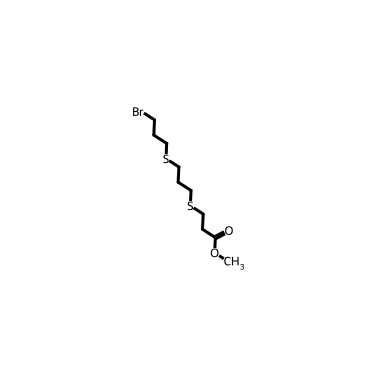 COC(=O)CCSCCCSCCCBr